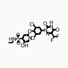 CCNS(=O)(=O)c1cc(Oc2c(Cl)cc(-n3nc(C(F)F)c(=O)[nH]c3=O)cc2Cl)ncc1O